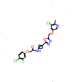 Cc1ncc(OCc2nnc(C34CC(NC(=O)COc5ccc(Cl)c(F)c5)(C3)C4)o2)cc1Cl